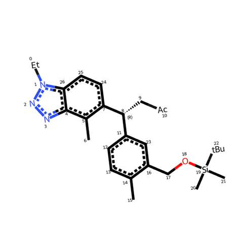 CCn1nnc2c(C)c([C@H](CC(C)=O)c3ccc(C)c(CO[Si](C)(C)C(C)(C)C)c3)ccc21